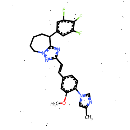 COc1cc(C=Cc2nc3n(n2)CCCCC3c2cc(F)c(F)c(F)c2)ccc1-n1cnc(C)c1